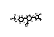 Cc1sc(-c2ccc(-c3ccc(OC(C)C)cc3)c(C#N)c2)cc1F